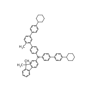 Cc1ccc(-c2ccc(C3CCCCC3)cc2)cc1-c1ccc(N(c2ccc(-c3ccc(C4CCCCC4)cc3)cc2)c2ccc3c(c2)C(C)(C)c2ccccc2-3)cc1